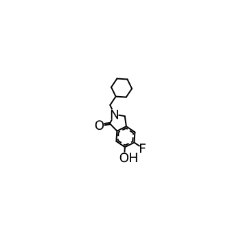 O=C1c2cc(O)c(F)cc2CN1CC1CCCCC1